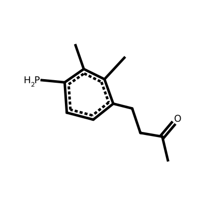 CC(=O)CCc1ccc(P)c(C)c1C